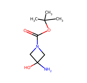 CC(C)(C)OC(=O)N1CC(N)(O)C1